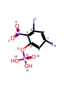 O=I(=O)c1c(I)cc(I)cc1OP(=O)(O)O